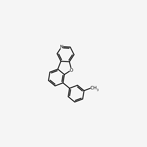 Cc1cccc(-c2cccc3c2oc2ccncc23)c1